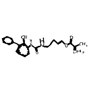 C=C(C)C(=O)OCCCCNC(=O)Nc1cccc(-c2ccccc2)c1O